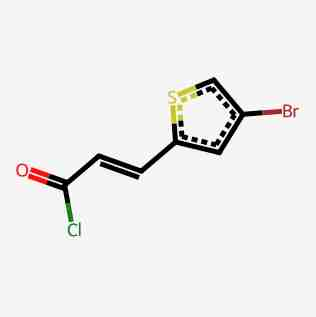 O=C(Cl)C=Cc1cc(Br)cs1